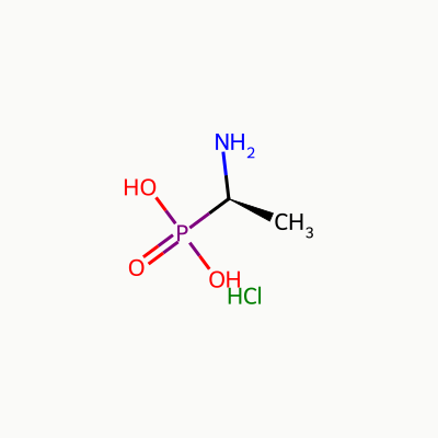 C[C@H](N)P(=O)(O)O.Cl